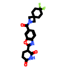 O=C1CCC(c2nc3ccc(C(=O)N4CC5(CCC(F)(F)CC5)C4)cc3o2)C(=O)N1